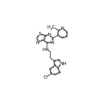 Cc1ncccc1-c1nc(NCCc2c[nH]c3ccc(Cl)cc23)c2ncsc2n1